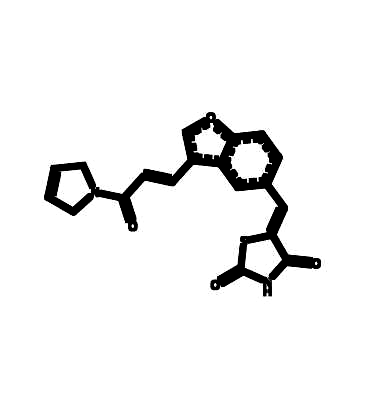 O=C1NC(=O)C(=Cc2ccc3occ(C=CC(=O)N4CC=CC4)c3c2)S1